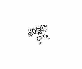 OC1NCCC1Nc1nnc(-c2ccc(C3CC3)cc2CC(F)(F)F)c2cncn12